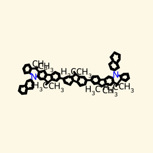 CC1(C)c2cc(-c3ccc4c(c3)C(C)(C)c3cc5c(cc3-4)C(C)(C)c3ccccc3N5c3ccc4ccccc4c3)ccc2-c2ccc(-c3ccc4c(c3)C(C)(C)c3cc5c(cc3-4)N(c3ccc4ccccc4c3)c3ccccc3C5(C)C)cc21